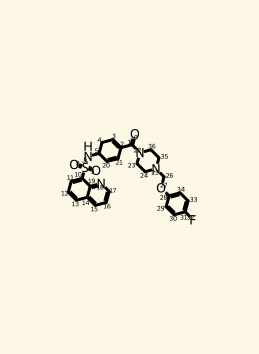 O=C(C1=CCC(NS(=O)(=O)c2cccc3cccnc23)C=C1)N1CCN(COc2ccc(F)cc2)CC1